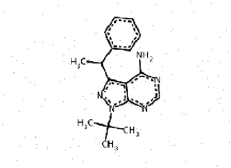 C[C@@H](c1ccccc1)c1nn(C(C)(C)C)c2ncnc(N)c12